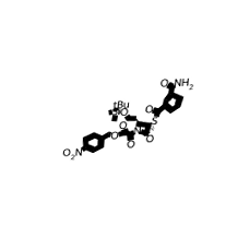 CC(C)(C)[Si](C)(C)OCC[C@@H]1[C@H](SC(=O)c2cccc(C(N)=O)c2)C(=O)N1C(=O)C(=O)OCc1ccc([N+](=O)[O-])cc1